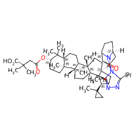 Cc1nnc(C(C)C)n1[C@H]1C[C@H]2CC[C@@H](C1)N2C(=O)[C@]12CC[C@@H](C3(C)CC3)[C@@H]1[C@H]1CC[C@@H]3[C@@]4(C)CC[C@H](OC(=O)CC(C)(C)C(=O)O)C(C)(C)[C@@H]4CC[C@@]3(C)[C@]1(C)CC2